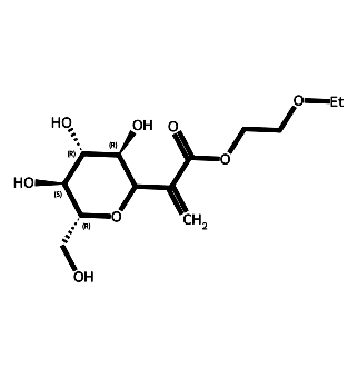 C=C(C(=O)OCCOCC)C1O[C@H](CO)[C@@H](O)[C@H](O)[C@H]1O